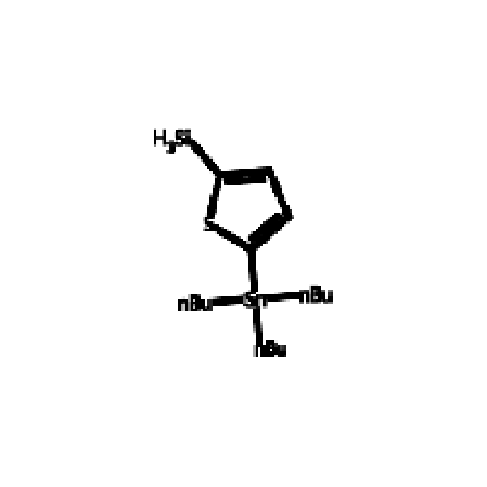 CCC[CH2][Sn]([CH2]CCC)([CH2]CCC)[c]1ccc([SiH3])s1